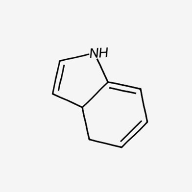 C1=CCC2C=CNC2=C1